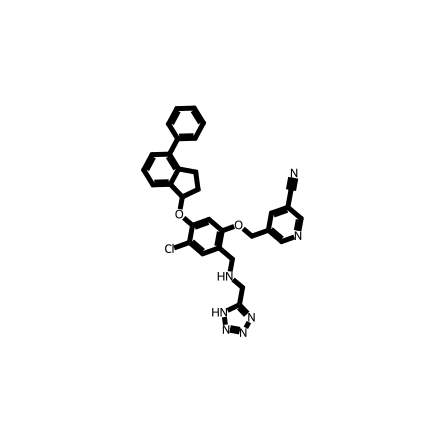 N#Cc1cncc(COc2cc(OC3CCc4c(-c5ccccc5)cccc43)c(Cl)cc2CNCc2nnn[nH]2)c1